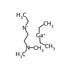 CC[N-]CCN(C)C.C[CH2][Ga+][CH2]C